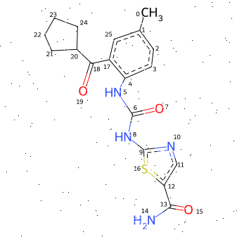 Cc1ccc(NC(=O)Nc2ncc(C(N)=O)s2)c(C(=O)C2CCCC2)c1